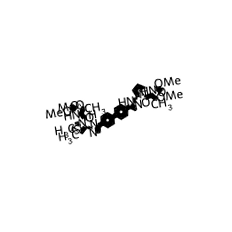 COC(=O)N[C@H](C(=O)N1CCC[C@H]1c1ncc(-c2ccc(-c3ccc(-c4cnc([C@@H]5C[Si](C)(C)CN5C(=O)[C@@H](NC(=O)OC)[C@@H](C)OC)[nH]4)cc3)cc2)[nH]1)[C@@H](C)OC